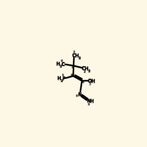 CC(C)(C)/C(P)=C(\O)N=N